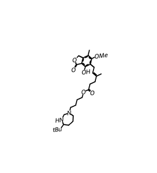 COc1c(C)c2c(c(O)c1C/C=C(\C)CCC(=O)OCCCCN1CCCC(C(C)(C)C)NC1)C(=O)OC2